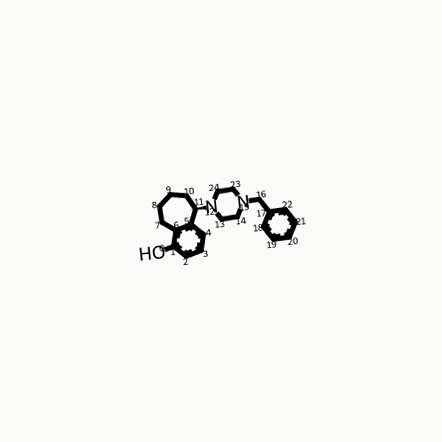 Oc1cccc2c1CCCC[C@H]2N1CCN(Cc2ccccc2)CC1